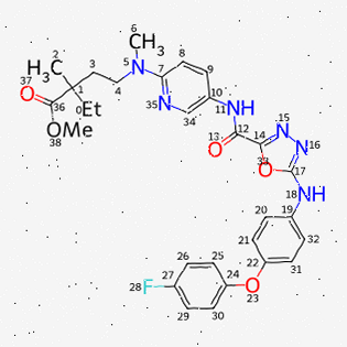 CCC(C)(CCN(C)c1ccc(NC(=O)c2nnc(Nc3ccc(Oc4ccc(F)cc4)cc3)o2)cn1)C(=O)OC